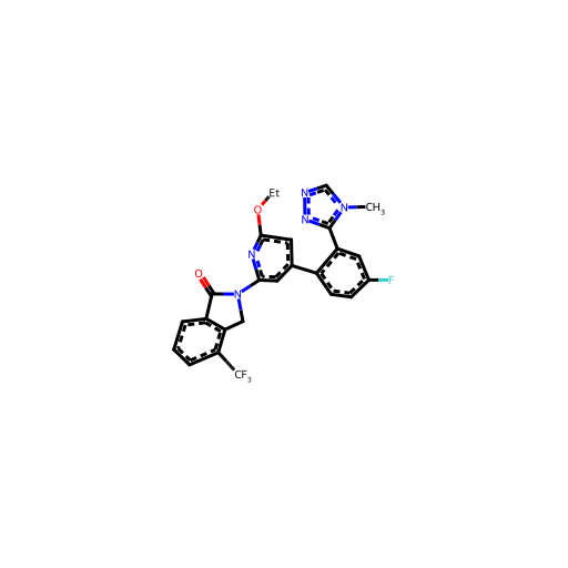 CCOc1cc(-c2ccc(F)cc2-c2nncn2C)cc(N2Cc3c(cccc3C(F)(F)F)C2=O)n1